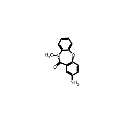 CN1C(=O)c2cc(N)ccc2Oc2ccccc21